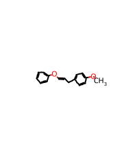 COc1ccc(CC=COc2ccccc2)cc1